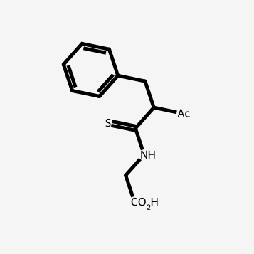 CC(=O)C(Cc1ccccc1)C(=S)NCC(=O)O